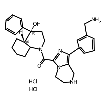 Cl.Cl.NCc1cccc(-c2nc(C(=O)N3CC[C@](O)(c4ccccc4)[C@H]4CCCCC43)n3c2CNCC3)c1